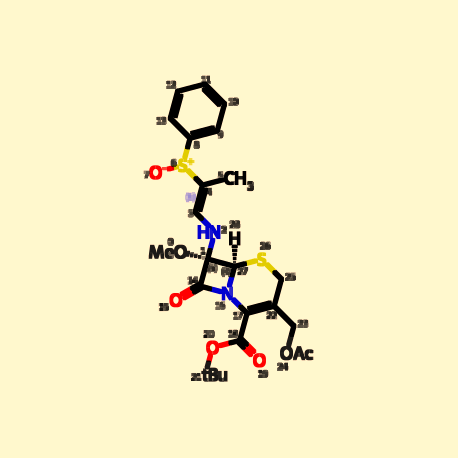 CO[C@@]1(N/C=C(\C)[S+]([O-])c2ccccc2)C(=O)N2C(C(=O)OC(C)(C)C)=C(COC(C)=O)CS[C@@H]21